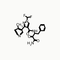 Cc1ccncc1-c1nn(C(F)F)cc1C(=O)NC(Cc1ccccc1)C(=O)C(N)=O